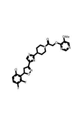 COc1cncnc1OCC(=O)N1CCC(c2nc(C3=NOC(c4c(Cl)ccc(F)c4F)C3)cs2)CC1